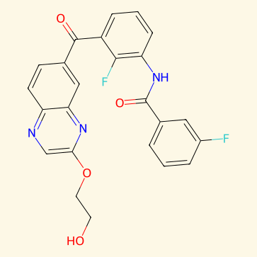 O=C(Nc1cccc(C(=O)c2ccc3ncc(OCCO)nc3c2)c1F)c1cccc(F)c1